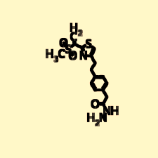 C=C(c1nc(CCc2ccc(CC(=O)NN)cc2)cs1)S(C)(=O)=O